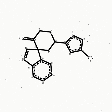 N#Cc1csc(C2CCC(=S)C3(C=Nc4ccccc43)C2)c1